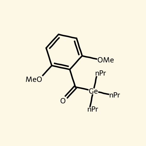 CC[CH2][Ge]([CH2]CC)([CH2]CC)[C](=O)c1c(OC)cccc1OC